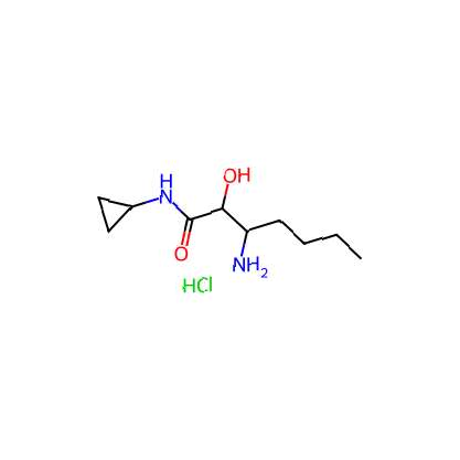 CCCCC(N)C(O)C(=O)NC1CC1.Cl